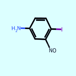 Nc1ccc(I)c(N=O)c1